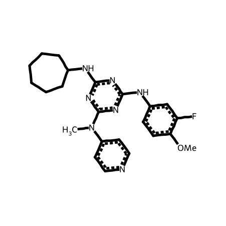 COc1ccc(Nc2nc(NC3CCCCCC3)nc(N(C)c3ccncc3)n2)cc1F